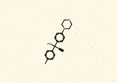 C#CC(O)(c1ccc(C)cc1)c1ccc(N2CCOCC2)cc1